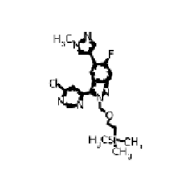 Cn1cc(-c2cc3c(-c4cc(Cl)ncn4)n(COCC[Si](C)(C)C)nc3cc2F)cn1